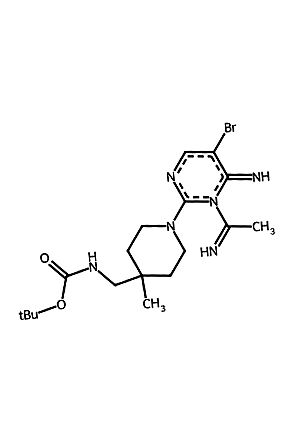 CC(=N)n1c(N2CCC(C)(CNC(=O)OC(C)(C)C)CC2)ncc(Br)c1=N